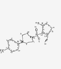 O=C(O)c1ccc(N2CCN(S(=O)(=O)c3c(F)cccc3F)CC2)cc1